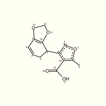 Cc1onc(C2CC=CC3=C2OCO3)c1C(=O)O